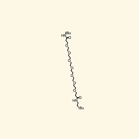 CC(C)(C)CCNC(=O)CCOCCOCCOCCOCCOCCOCCOCCC(=O)NC(C)(C)C